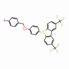 FC(F)(F)c1ccc2c(c1)-c1cc(C(F)(F)F)ccc1[SH]2c1ccc(OCc2ccc(I)cc2)cc1